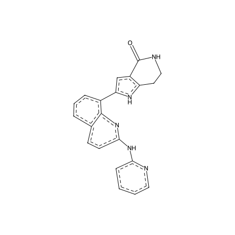 O=C1NCCc2[nH]c(-c3cccc4ccc(Nc5ccccn5)nc34)cc21